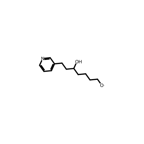 [O]CCCCC(O)CCc1cccnc1